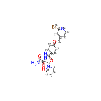 NC(=O)[C@@](O)(CN1CCCCC1)NC(=O)c1ccc(OCc2ccnc(Br)c2)cc1